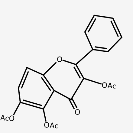 CC(=O)Oc1ccc2oc(-c3ccccc3)c(OC(C)=O)c(=O)c2c1OC(C)=O